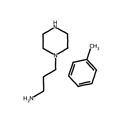 Cc1ccccc1.NCCCN1CCNCC1